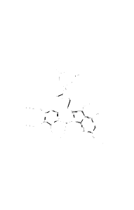 COc1ccc2c(c1OC)CCCC2n1c(/C=C/C(=O)N2CC(C)OC(C)C2)c(C#N)c2c(C)cc(C)nc21